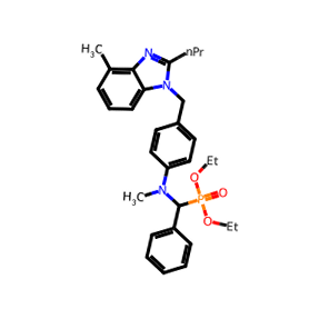 CCCc1nc2c(C)cccc2n1Cc1ccc(N(C)C(c2ccccc2)P(=O)(OCC)OCC)cc1